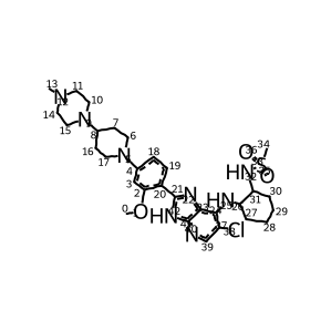 COc1cc(N2CCC(N3CCN(C)CC3)CC2)ccc1-c1nc2c(NC3CCCCC3NS(C)(=O)=O)c(Cl)cnc2[nH]1